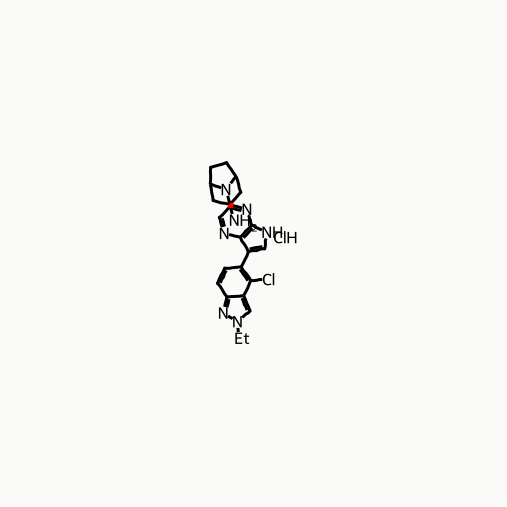 CCn1cc2c(Cl)c(-c3c[nH]c4nc(N5C6CCC5CC(N)C6)cnc34)ccc2n1.Cl